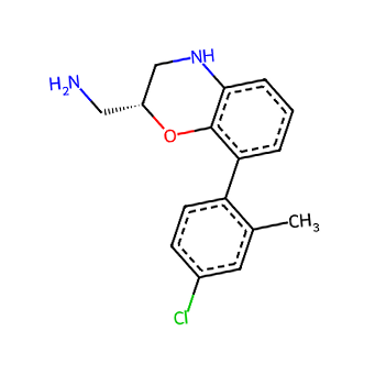 Cc1cc(Cl)ccc1-c1cccc2c1O[C@H](CN)CN2